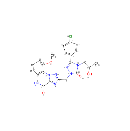 NC(=O)c1nc(Cn2nc(-c3ccc(Cl)cc3)n(CC(O)C(F)(F)F)c2=O)nn1-c1ccccc1OC(F)(F)F